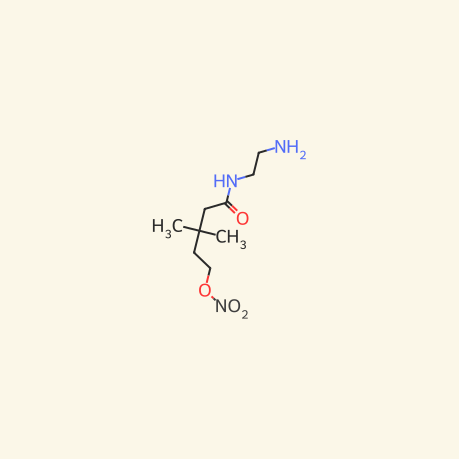 CC(C)(CCO[N+](=O)[O-])CC(=O)NCCN